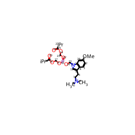 COc1ccc2c(CCN(C)C)cn(COP(OCOC(=O)C(C)C)OCOC(=O)C(C)C)c2c1